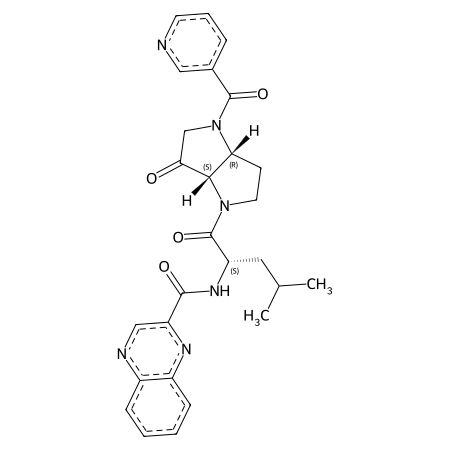 CC(C)C[C@H](NC(=O)c1cnc2ccccc2n1)C(=O)N1CC[C@@H]2[C@H]1C(=O)CN2C(=O)c1cccnc1